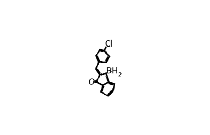 BC1/C(=C\c2ccc(Cl)cc2)C(=O)c2ccccc21